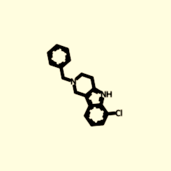 Clc1cccc2c3c([nH]c12)CCN(Cc1ccccc1)C3